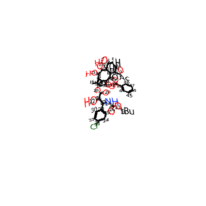 CC(=O)O[C@@]12CO[C@@H]1C[C@H](O)[C@@]1(C)C(=O)[C@H](O)C3=C(C)[C@@H](OC(=O)[C@H](O)[C@@H](NC(=O)OC(C)(C)C)c4ccc(Cl)cc4)C[C@@](O)([C@@H](OC(=O)c4ccccc4)[C@H]21)C3(C)C